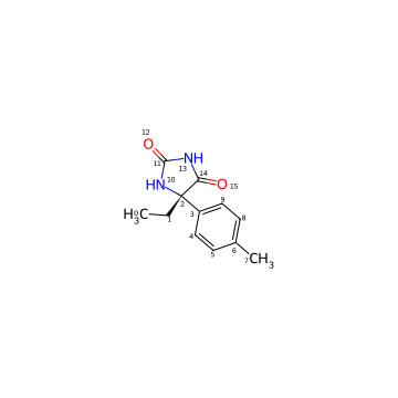 CC[C@@]1(c2ccc(C)cc2)NC(=O)NC1=O